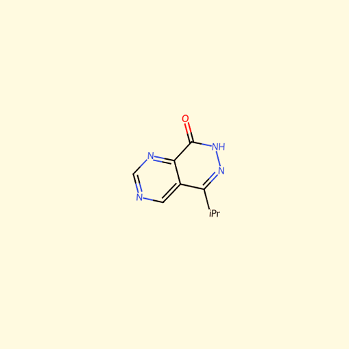 CC(C)c1n[nH]c(=O)c2ncncc12